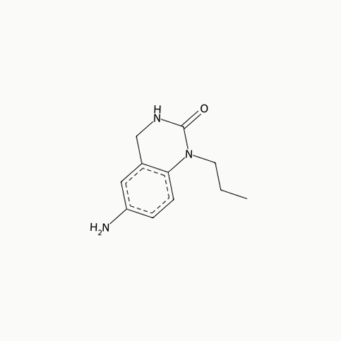 CCCN1C(=O)NCc2cc(N)ccc21